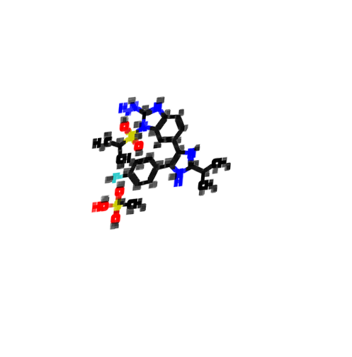 CC(C)c1nc(-c2ccc3nc(N)n(S(=O)(=O)C(C)C)c3c2)c(-c2ccc(F)cc2)[nH]1.CS(=O)(=O)O